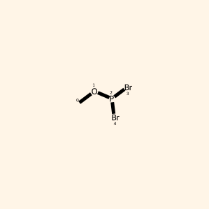 COP(Br)Br